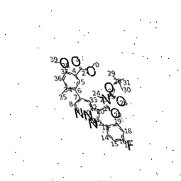 COC(=O)c1cc(-c2cnn3nc(-c4ccc(F)cc4)c(C(=O)N(C)C(=O)OC(C)(C)C)c3c2)c(C)cc1OC